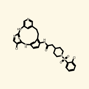 O=C(CC1CCN(S(=O)(=O)c2ccccc2Cl)CC1)Nc1ccc2cc1CCc1cncc(c1)Nc1ncc(Cl)c(n1)N2